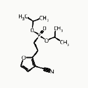 CC(C)OP(=O)(CCc1occc1C#N)OC(C)C